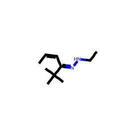 C/C=C\C(=N/NCC)C(C)(C)C